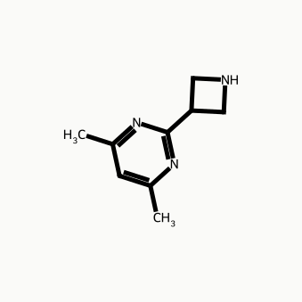 Cc1cc(C)nc(C2CNC2)n1